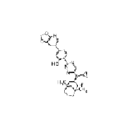 C[C@]12CCC[C@](C)(C1)[C@H](F)[C@H](N(c1cnc(-c3ccc(-c4cnc5c(c4)OCO5)cc3O)nn1)C1CC1)C2